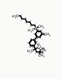 CCCCCCCC[Si](C)(C)c1cc(C)cc(-c2cccc(C(C)(C)CC(C)(C)C)c2)c1